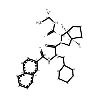 B[C@@H](NC(=O)[C@@H]1[C@H]2CCC[C@H]2CN1C(=O)[C@@H](CC1CCCCC1)NC(=O)c1ccc2ccccc2c1)C(C)C